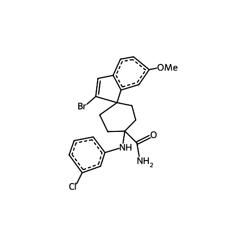 COc1ccc2c(c1)C1(CCC(Nc3cccc(Cl)c3)(C(N)=O)CC1)C(Br)=C2